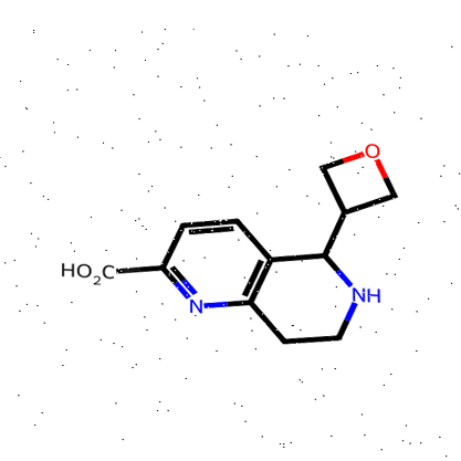 O=C(O)c1ccc2c(n1)CCNC2C1COC1